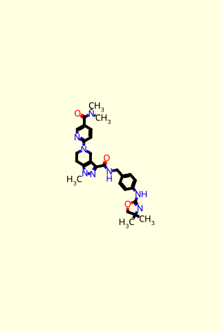 CN(C)C(=O)c1ccc(N2CCc3c(c(C(=O)NCc4ccc(NC5=NC(C)(C)CO5)cc4)nn3C)C2)nc1